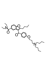 CCCCc1oc2ccc(C(=O)N(CC)CC)cc2c1C(=O)c1ccc(OCCCN(CCCC)CCCC)cc1